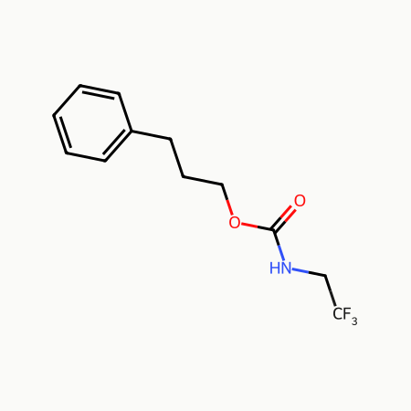 O=C(NCC(F)(F)F)OCCCc1ccccc1